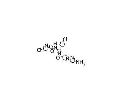 Nc1ccc(N2CCC(C(=O)N3C[C@@H](NC(=O)Oc4ccc(Cl)cn4)[C@H](C4=CCC(Cl)C=C4)C3)CC2)nc1